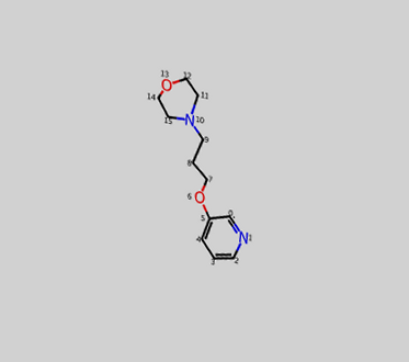 [c]1ncccc1OCCCN1CCOCC1